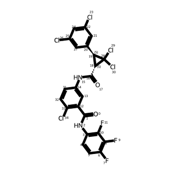 O=C(Nc1ccc(F)c(F)c1F)c1cc(NC(=O)[C@@H]2[C@@H](c3cc(Cl)cc(Cl)c3)C2(Cl)Cl)ccc1Cl